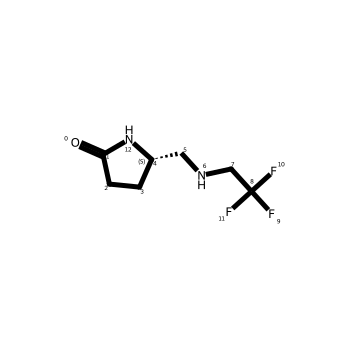 O=C1CC[C@@H](CNCC(F)(F)F)N1